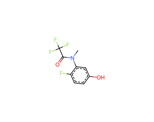 CN(C(=O)C(F)(F)F)c1cc(O)ccc1F